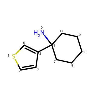 NC1(c2ccsc2)CCCCC1